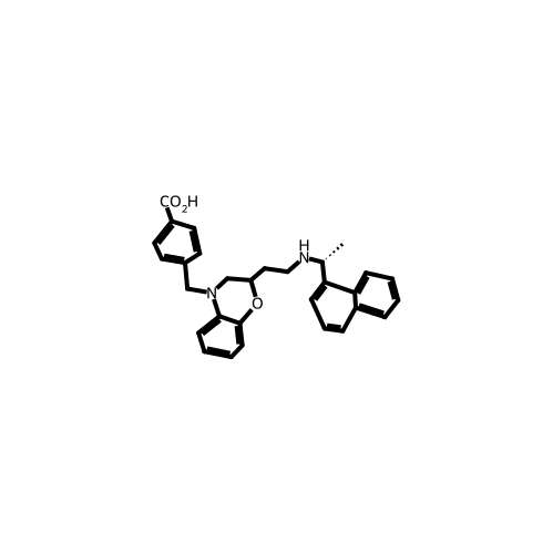 C[C@@H](NCCC1CN(Cc2ccc(C(=O)O)cc2)c2ccccc2O1)c1cccc2ccccc12